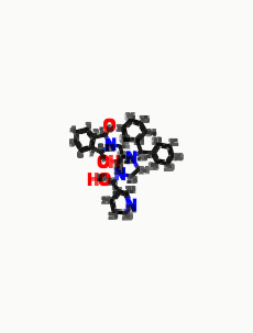 O=C1c2ccccc2C(O)N1CC1CN(C(O)c2cccnc2)CCN1C(c1ccccc1)c1ccccc1